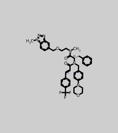 CN(CCOCc1ccc2c(c1)nnn2C)C(=O)[C@H](Cc1ccccc1)N(Cc1ccc(N2CCOCC2)cc1)C(=O)/C=C/c1ccc(C(F)(F)F)cc1